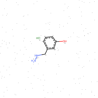 Cl.NNCc1cccc(O)c1